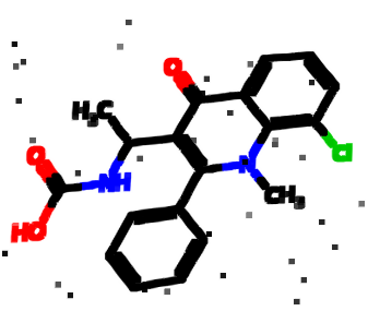 CC(NC(=O)O)c1c(-c2ccccc2)n(C)c2c(Cl)cccc2c1=O